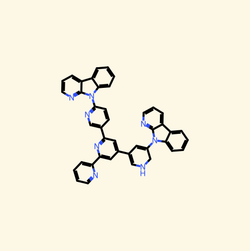 C1=C(c2cc(-c3ccc(-n4c5ccccc5c5cccnc54)nc3)nc(-c3ccccn3)c2)C=C(n2c3ccccc3c3cccnc32)CN1